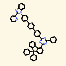 c1ccc(-c2nc(-c3ccc(-c4ccc(-c5ccc(-n6c(-c7ccccn7)nc7ccccc76)cc5)cc4)cc3)nc(-c3cccc4c3-c3ccccc3C4(c3ccccc3)c3ccccc3)n2)cc1